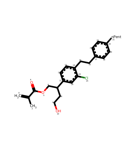 C=C(C)C(=O)OCC(CCO)c1ccc(CCc2ccc(CCCCC)cc2)c(Cl)c1